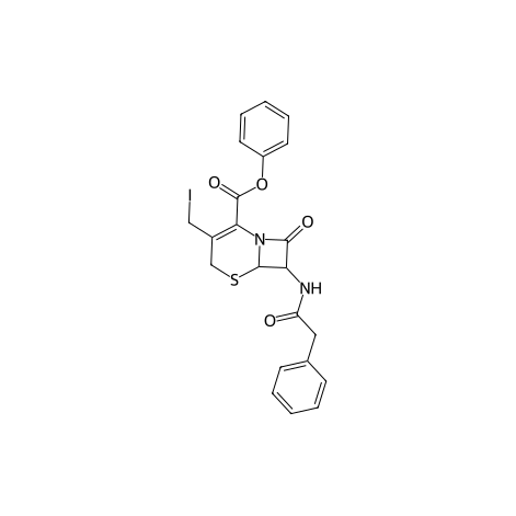 O=C(Cc1ccccc1)NC1C(=O)N2C(C(=O)Oc3ccccc3)=C(CI)CSC12